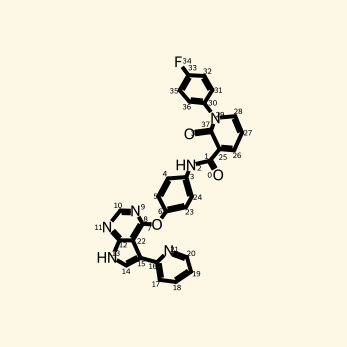 O=C(Nc1ccc(Oc2ncnc3[nH]cc(-c4ccccn4)c23)cc1)c1cccn(-c2ccc(F)cc2)c1=O